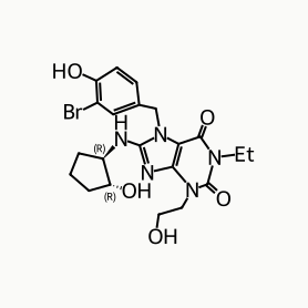 CCn1c(=O)c2c(nc(N[C@@H]3CCC[C@H]3O)n2Cc2ccc(O)c(Br)c2)n(CCO)c1=O